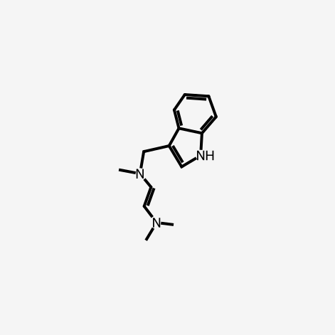 CN(C)/C=C/N(C)Cc1c[nH]c2ccccc12